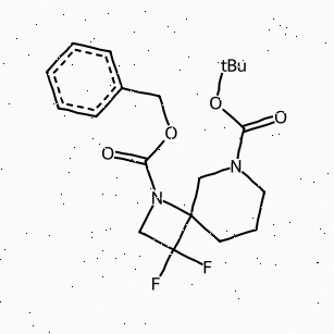 CC(C)(C)OC(=O)N1CCCC2(C1)N(C(=O)OCc1ccccc1)CC2(F)F